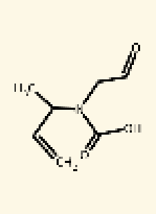 C=CC(C)N(CC=O)C(=O)O